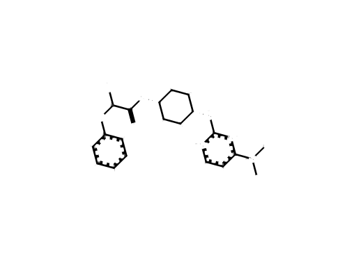 CCC(Oc1ccccc1)C(=O)N[C@H]1CC[C@@H](Nc2nccc(N(C)C)n2)CC1